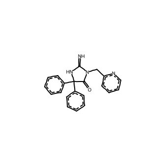 N=C1NC(c2ccccc2)(c2ccccc2)C(=O)N1Cc1ccccn1